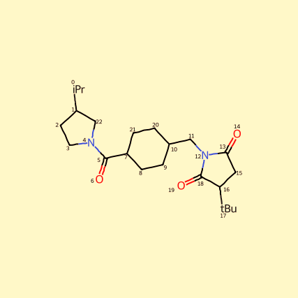 CC(C)C1CCN(C(=O)C2CCC(CN3C(=O)CC(C(C)(C)C)C3=O)CC2)C1